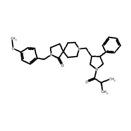 COc1ccc(CN2CCC3(CCN(CC4CN(C(=O)C(C)C)CC4c4ccccc4)CC3)C2=O)cc1